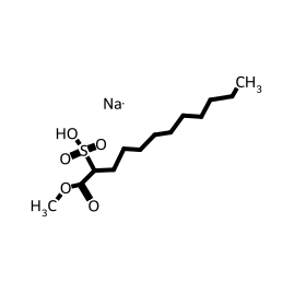 CCCCCCCCCCC(C(=O)OC)S(=O)(=O)O.[Na]